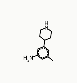 Cc1cc(N)cc(C2CCNCC2)c1